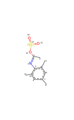 C/C(=N\c1c(C)cc(C)cc1C)O[SH](=O)=O